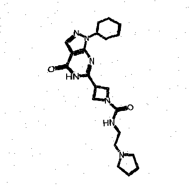 O=C(NCCN1CCCC1)N1CC(c2nc3c(cnn3C3CCCCC3)c(=O)[nH]2)C1